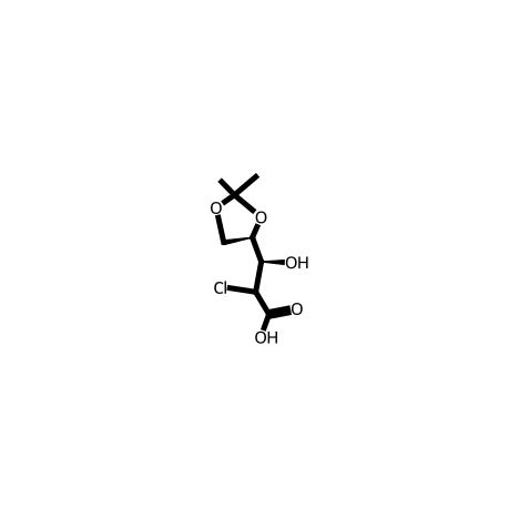 CC1(C)OC[C@H]([C@@H](O)C(Cl)C(=O)O)O1